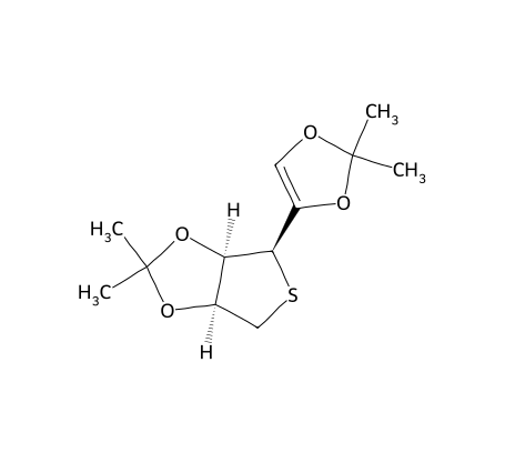 CC1(C)OC=C([C@H]2SC[C@H]3OC(C)(C)O[C@@H]23)O1